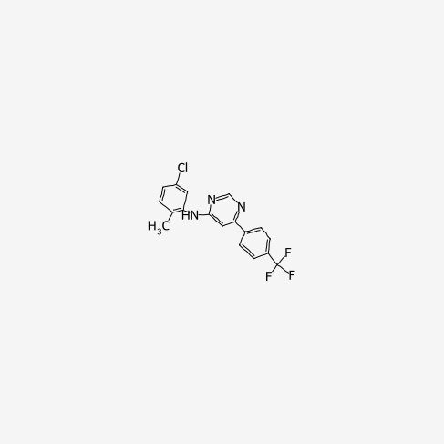 Cc1ccc(Cl)cc1Nc1cc(-c2ccc(C(F)(F)F)cc2)ncn1